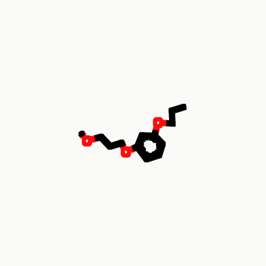 CCCOc1cccc(OCCCOC)c1